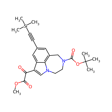 COC(=O)C(=O)c1cn2c3c(cc(C#C[Si](C)(C)C)cc13)CN(C(=O)OC(C)(C)C)CC2